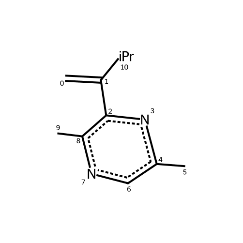 C=C(c1nc(C)cnc1C)C(C)C